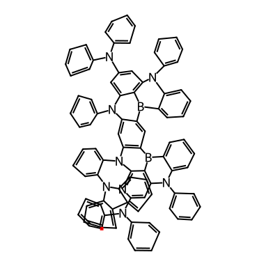 c1ccc(N(c2ccccc2)c2cc3c4c(c2)N(c2ccccc2)c2cc5c(cc2B4c2ccccc2N3c2ccccc2)B2c3ccccc3N(c3ccccc3)c3cc(N(c4ccccc4)c4ccccc4)nc(c32)N5c2ccccc2-n2c3ccccc3c3ccccc32)cc1